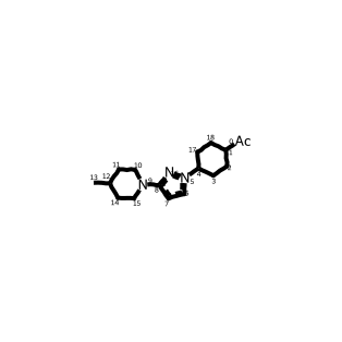 CC(=O)C1CCC(n2ccc(N3CCC(C)CC3)n2)CC1